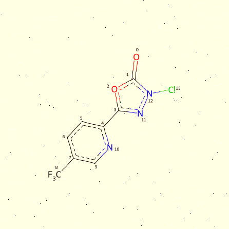 O=c1oc(-c2ccc(C(F)(F)F)cn2)nn1Cl